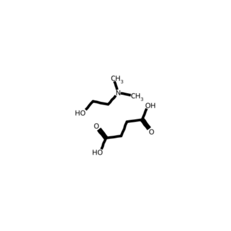 CN(C)CCO.O=C(O)CCC(=O)O